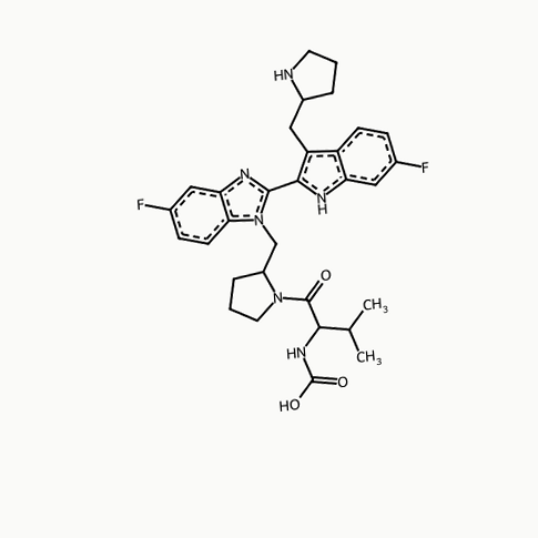 CC(C)C(NC(=O)O)C(=O)N1CCCC1Cn1c(-c2[nH]c3cc(F)ccc3c2CC2CCCN2)nc2cc(F)ccc21